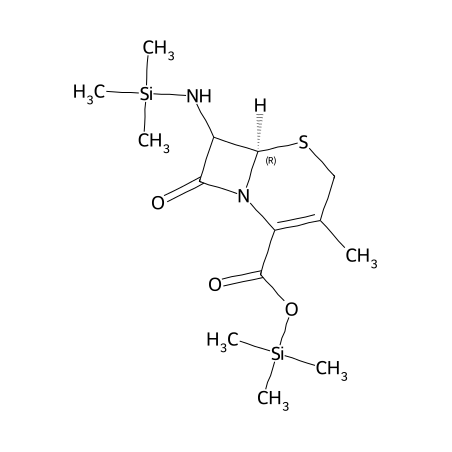 CC1=C(C(=O)O[Si](C)(C)C)N2C(=O)C(N[Si](C)(C)C)[C@H]2SC1